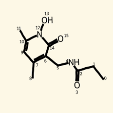 CCC(=O)NCc1c(C)cc(C)n(O)c1=O